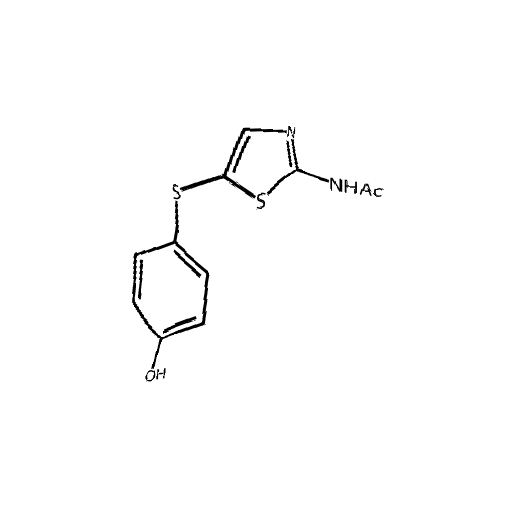 CC(=O)Nc1ncc(Sc2ccc(O)cc2)s1